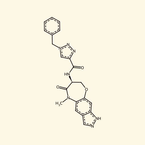 CN1C(=O)[C@@H](NC(=O)c2cn(Cc3ccccc3)nn2)COc2cc3[nH]ncc3cc21